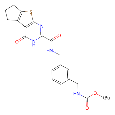 CC(C)(C)OC(=O)NCc1cccc(CNC(=O)c2nc3sc4c(c3c(=O)[nH]2)CCC4)c1